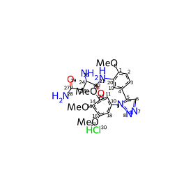 COc1ccc(-c2cnnn2-c2cc(OC)c(OC)c(OC)c2)cc1NC(=O)C(N)CC(N)=O.Cl